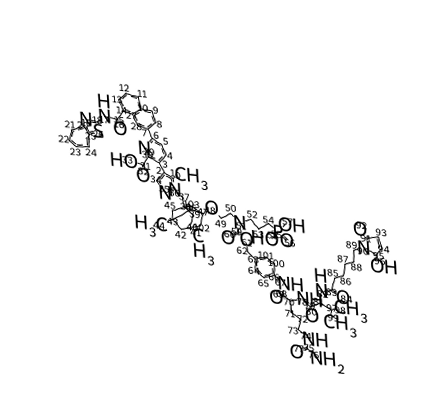 Cc1c(-c2ccc(-c3ccc4cccc(C(=O)Nc5nc6ccccc6s5)c4c3)nc2C(=O)O)cnn1CC12CC3(C)CC(C)(C1)CC(OCCN(CCCP(=O)(O)O)C(=O)OCc1ccc(NC(=O)[C@H](CCCNC(N)=O)NC(=O)[C@@H](NC(=O)CCCCCN4C(=O)C=CC4O)C(C)C)cc1)(C3)C2